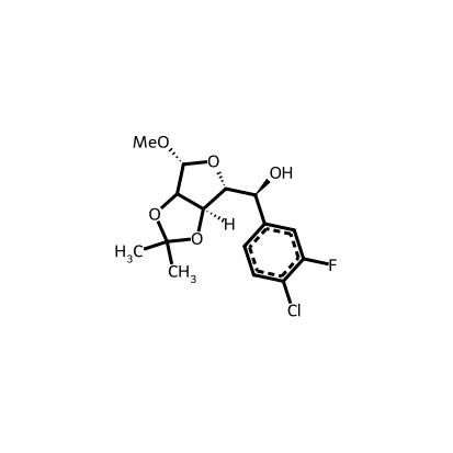 CO[C@@H]1O[C@H]([C@@H](O)c2ccc(Cl)c(F)c2)[C@H]2OC(C)(C)OC12